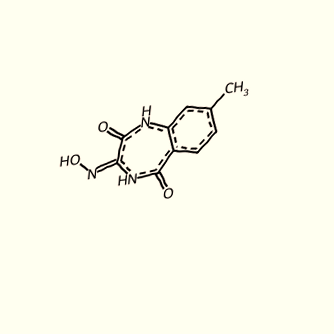 Cc1ccc2c(=O)[nH]c(=NO)c(=O)[nH]c2c1